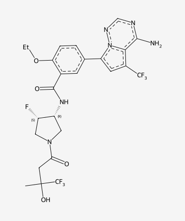 CCOc1ccc(-c2cc(C(F)(F)F)c3c(N)ncnn23)cc1C(=O)N[C@@H]1CN(C(=O)CC(C)(O)C(F)(F)F)C[C@@H]1F